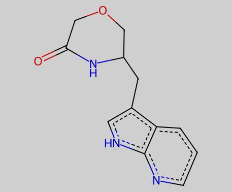 O=C1COCC(Cc2c[nH]c3ncccc23)N1